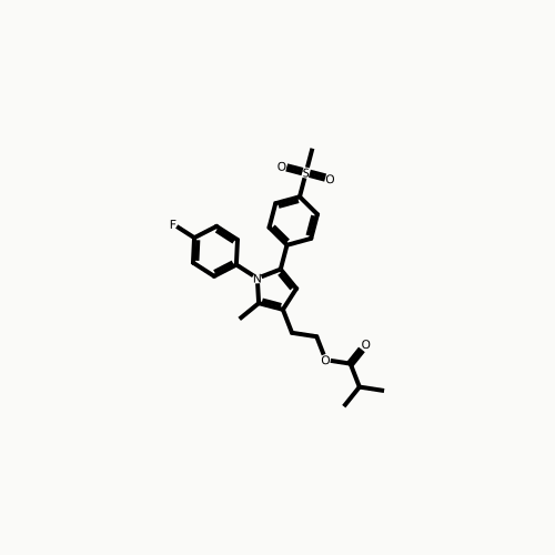 Cc1c(CCOC(=O)C(C)C)cc(-c2ccc(S(C)(=O)=O)cc2)n1-c1ccc(F)cc1